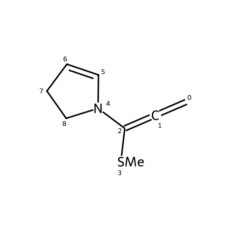 C=C=C(SC)N1C=CCC1